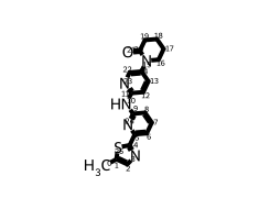 Cc1cnc(-c2cccc(Nc3ccc(N4CCCCC4=O)cn3)n2)s1